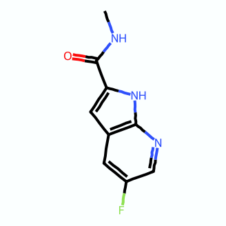 CNC(=O)c1cc2cc(F)cnc2[nH]1